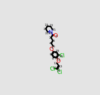 O=C(CCCCOc1ccc(OCC=C(Cl)Cl)c(Cl)c1)N1CCCCC1